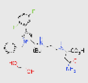 CC(C)(C)[C@@H](NCCCN[C@@H](CC(N)=O)C(=O)O)c1cc(-c2cc(F)ccc2F)cn1Cc1ccccc1.OCCO